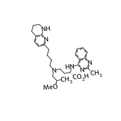 CO[C@H](C)CN(CCCCc1ccc2c(n1)NCCC2)CC[C@H](Nc1nc(C)nc2ccccc12)C(=O)O